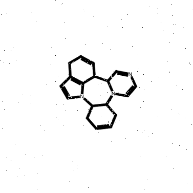 C1=CC2c3c(ccn3C3CC=CCC3N3C=CN=CC23)C1